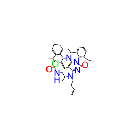 C=CCCN(/C(=N/C)c1cc(Cl)c(C2=CCCC=C2C(C)C)nc1N(C=O)c1c(CC)cccc1CC)C(C)CNC=O